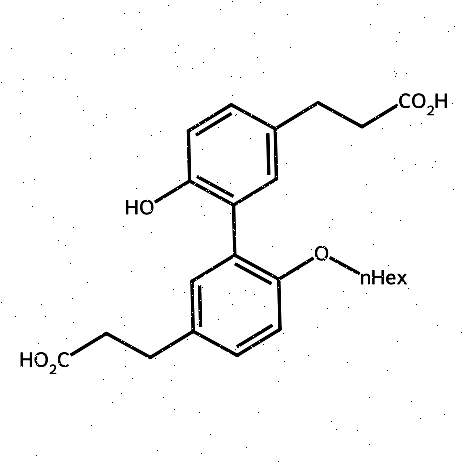 CCCCCCOc1ccc(CCC(=O)O)cc1-c1cc(CCC(=O)O)ccc1O